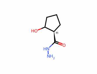 NNC(=O)[C@@H]1CCCC1O